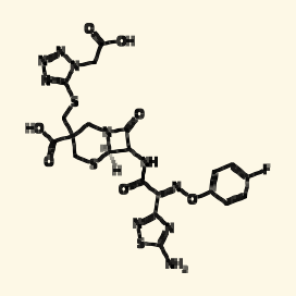 Nc1nc(C(=NOc2ccc(F)cc2)C(=O)NC2C(=O)N3CC(CSc4nnnn4CC(=O)O)(C(=O)O)CS[C@H]23)ns1